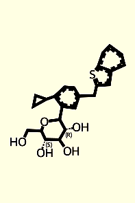 OCC1OC(c2cc(Cc3cc4ccccc4s3)ccc2C2CC2)[C@H](O)C(O)[C@@H]1O